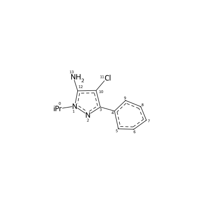 CC(C)n1nc(-c2ccccc2)c(Cl)c1N